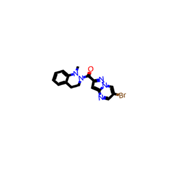 CN1c2ccccc2CCN1C(=O)c1cc2ncc(Br)cn2n1